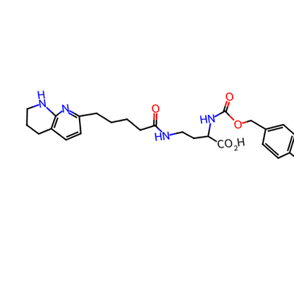 O=C(CCCCc1ccc2c(n1)NCCC2)NCCC(NC(=O)OCc1ccc(F)cc1)C(=O)O